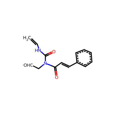 C=CNC(=O)N(C[C]=O)C(=O)C=Cc1ccccc1